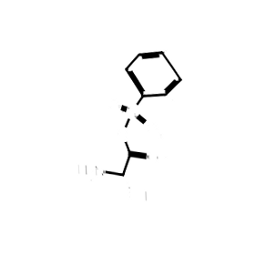 C[C@H](N)C(=O)OS(=O)(=O)c1ccccc1